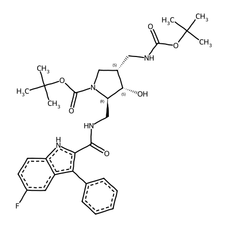 CC(C)(C)OC(=O)NC[C@H]1CN(C(=O)OC(C)(C)C)[C@H](CNC(=O)c2[nH]c3ccc(F)cc3c2-c2ccccc2)[C@H]1O